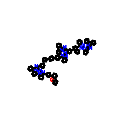 c1cc(-c2ccc(-c3ccc(-c4nc(-n5c6ccc(-c7ccc(-c8nc(-n9c%10ccccc%10c%10nc%11c%12ccccc%12c%12ccccc%12n%11c%109)nc9ccccc89)c8ccccc78)cc6c6nc7c8ccccc8c8ccccc8n7c65)nc5ccccc45)cc3)cc2)cc(-c2ccc3c(c2)c2nc4c5ccccc5c5ccccc5n4c2n3-c2nc(-c3ccc(-c4cccc5c4oc4ccccc45)cc3)c3ccccc3n2)c1